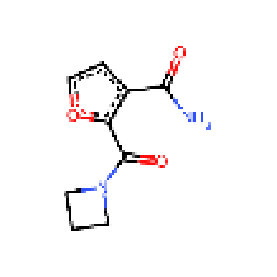 NC(=O)c1ccoc1C(=O)N1CCC1